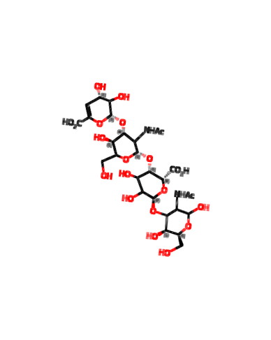 CC(=O)NC1C(O)O[C@@H](CO)[C@@H](O)C1O[C@@H]1O[C@@H](C(=O)O)[C@@H](O[C@@H]2OC(CO)[C@@H](O)[C@H](O[C@@H]3OC(C(=O)O)=C[C@H](O)C3O)C2NC(C)=O)C(O)C1O